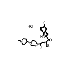 CCN(CC(=O)N1CCN(C2CCN(C)CC2)CC1)C(=O)c1cc2cc(Cl)ccc2[nH]1.Cl